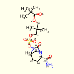 CC(C)(COC(=O)C(C)(C)C)COS(=O)(=O)ON1C(=O)N2C[C@H]1CC[C@H]2C(N)=O